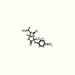 CC(O)C1C(=O)N2C(Cc3ccc([N+](=O)[O-])cc3)(C(=O)O)C(=O)CC12C